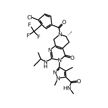 CNC(=O)c1c(C)c(-n2c(NC(C)C)nc3c(c2=O)C[C@@H](C)N(C(=O)c2ccc(Cl)c(C(F)(F)F)c2)C3)nn1C